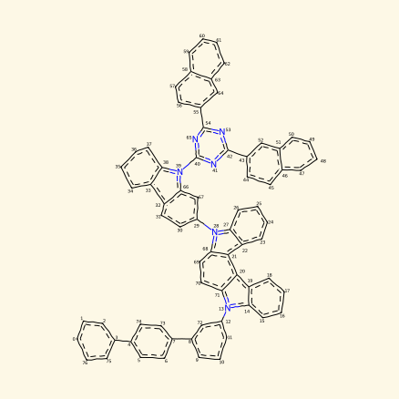 c1ccc(-c2ccc(-c3cccc(-n4c5ccccc5c5c6c7ccccc7n(-c7ccc8c9ccccc9n(-c9nc(-c%10ccc%11ccccc%11c%10)nc(-c%10ccc%11ccccc%11c%10)n9)c8c7)c6ccc54)c3)cc2)cc1